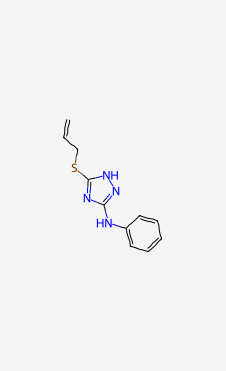 C=CCSc1nc(Nc2ccccc2)n[nH]1